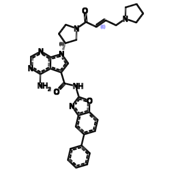 Nc1ncnc2c1c(C(=O)Nc1nc3cc(-c4ccccc4)ccc3o1)cn2[C@@H]1CCN(C(=O)/C=C/CN2CCCC2)C1